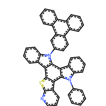 c1ccc(-n2c3ccccc3c3c4c(c5ccccc5n4-c4ccc5c6ccccc6c6ccccc6c5c4)c4sc5ncccc5c4c32)cc1